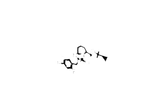 CC(C)(OC(=O)C1CCCc2nn(Cc3cc(F)c(F)cc3F)c(=O)n21)C1=CC1